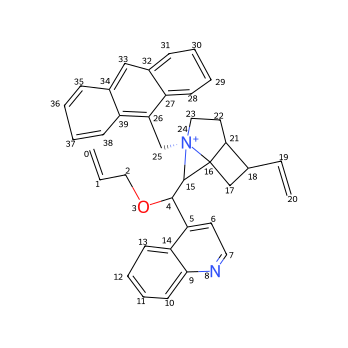 C=CCOC(c1ccnc2ccccc12)C1C23CC(C=C)C2CC[N@+]13Cc1c2ccccc2cc2ccccc12